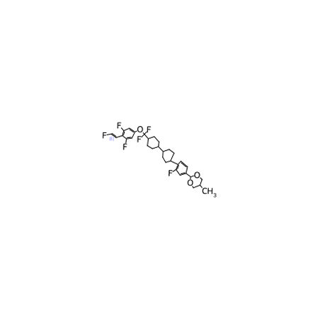 CC1COC(c2ccc(C3CCC(C4CCC(C(F)(F)Oc5cc(F)c(/C=C/F)c(F)c5)CC4)CC3)c(F)c2)OC1